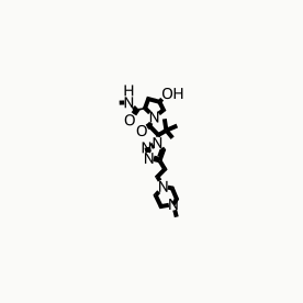 CNC(=O)[C@H]1CC(O)CN1C(=O)C(n1cc(CCN2CCN(C)CC2)nn1)C(C)(C)C